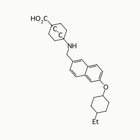 CCC1CCC(Oc2ccc3cc(CNC45CCC(C(=O)O)(CC4)CC5)ccc3c2)CC1